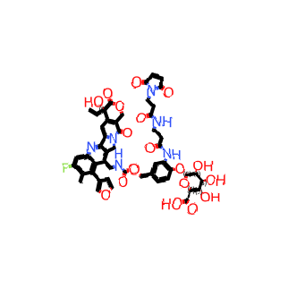 CC[C@@]1(O)C(=O)OCc2c1cc1n(c2=O)Cc2c-1nc1cc(F)c(C)c(-c3ccoc3)c1c2CNC(=O)OCc1ccc(O[C@@H]2O[C@H](C(=O)O)[C@@H](O)[C@H](O)[C@H]2O)c(NC(=O)CCNC(=O)CCN2C(=O)C=CC2=O)c1